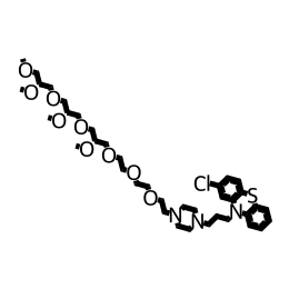 COCC(COCC(COCC(COCCOCCOCCN1CCN(CCCN2c3ccccc3Sc3ccc(Cl)cc32)CC1)OC)OC)OC